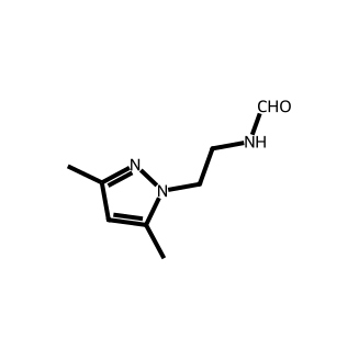 Cc1cc(C)n(CCNC=O)n1